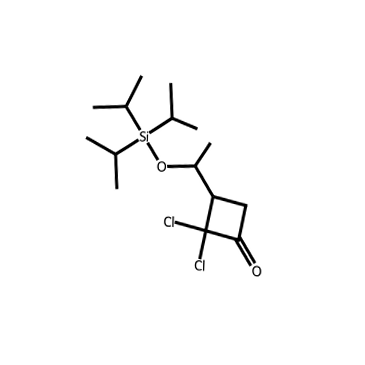 CC(O[Si](C(C)C)(C(C)C)C(C)C)C1CC(=O)C1(Cl)Cl